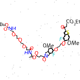 CCOC(=O)CCC(=O)c1cc2c(F)c(OCCCOc3c(OC)cc4c(c3F)CN(C(=O)CCC(=O)O[C@@H](C)CNC(=O)CCOCCOCCOCCNC(=O)OC(C)(C)C)C4)c(OC)cc2s1